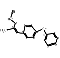 CCNCC(C)=Cc1ccc(Sc2ccccc2)cc1